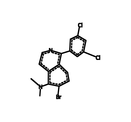 CN(C)c1c(Br)ccc2c(-c3cc(Cl)cc(Cl)c3)nccc12